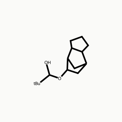 CC(C)(C)C(O)OC1CC2CC1C1CCCC21